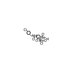 COC1(CNC(=O)c2ccc(C(=O)NCc3ccc(Cl)cc3)c(=O)n2CCCl)CC1